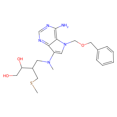 CSCC(CN(C)c1cn(COCc2ccccc2)c2c(N)ncnc12)C(O)CO